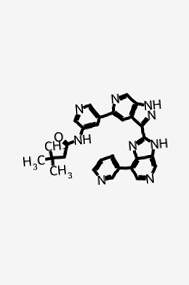 CC(C)(C)CC(=O)Nc1cncc(-c2cc3c(-c4nc5c(-c6cccnc6)cncc5[nH]4)n[nH]c3cn2)c1